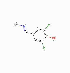 CCCN=Cc1cc(Cl)c(O)c(Cl)c1